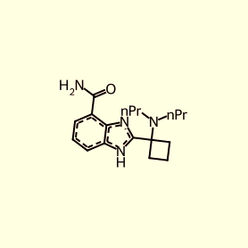 CCCN(CCC)C1(c2nc3c(C(N)=O)cccc3[nH]2)CCC1